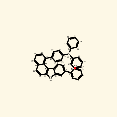 c1ccc(-c2ccc3c(c2)oc2ccc4cccc(-c5ccc(N(c6ccccc6)c6ccccc6)cc5)c4c23)cc1